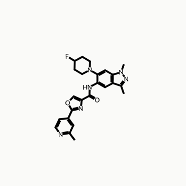 Cc1cc(-c2nc(C(=O)Nc3cc4c(C)nn(C)c4cc3N3CCC(F)CC3)co2)ccn1